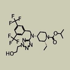 CC[C@@H]1C[C@H](N(Cc2cc(C(F)(F)F)cc(C(F)(F)F)c2)c2nnn(CCO)n2)CCN1C(=O)OC(C)C